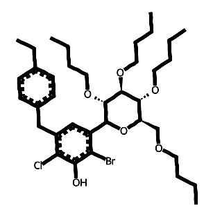 CCCCOC[C@H]1OC(c2cc(Cc3ccc(CC)cc3)c(Cl)c(O)c2Br)[C@H](OCCCC)[C@@H](OCCCC)[C@@H]1OCCCC